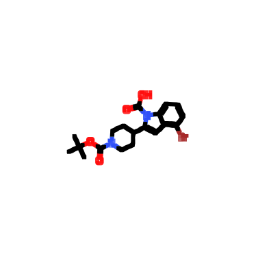 CC(C)(C)OC(=O)N1CCC(c2cc3c(Br)cccc3n2C(=O)O)CC1